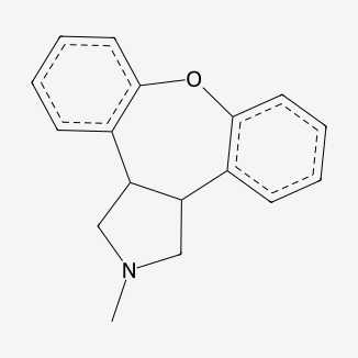 CN1CC2c3ccccc3Oc3ccccc3C2C1